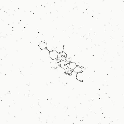 C[C@@H]1C[C@H]2[C@@H]3CC(F)=C4C=C(N5CCCC5)CC[C@]4(C)[C@H]3[C@@H](O)C[C@]2(C)[C@@]1(O)C(=O)CO